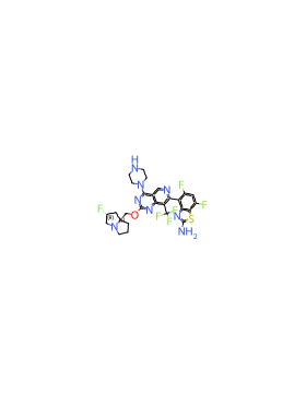 Nc1nc2c(-c3ncc4c(N5CCNCC5)nc(OC[C@@]56CCCN5C[C@H](F)C6)nc4c3C(F)(F)F)c(F)cc(F)c2s1